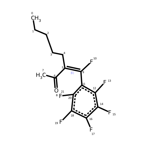 CCCCC/C(C(C)=O)=C(\F)c1c(F)c(F)c(F)c(F)c1F